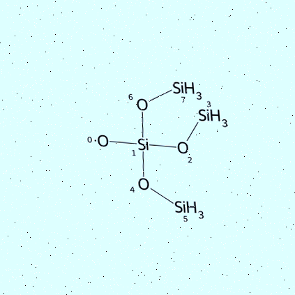 [O][Si](O[SiH3])(O[SiH3])O[SiH3]